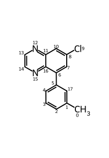 Cc1cccc(-c2cc(Cl)cc3nccnc23)c1